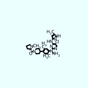 Cc1cc(Nc2nc(N(N)c3cc(C)c(C4CCN(C(=O)[C@@H]5CCCN5C)CC4)cc3C)ncc2Cl)n[nH]1